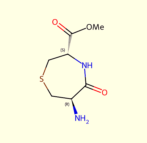 COC(=O)[C@H]1CSC[C@H](N)C(=O)N1